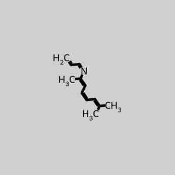 C=C\C=N/C(C)=C/C=C\C=C(C)C